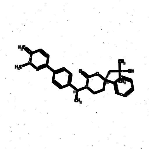 C=C1C=CC(c2ccc([C@H](C)N3CC[C@](CC(C)(C)O)(c4ccccc4)OC3=O)cc2)=NN1C